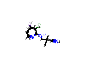 CC(C)(C#N)CNc1nccc(I)c1Cl